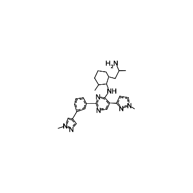 CC(N)CC1CCCC(C)C1Nc1nc(-c2cccc(-c3cnn(C)c3)c2)ncc1-c1ccn(C)n1